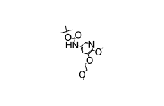 COCCOc1cc(NC(=O)OC(C)(C)C)cnc1OC